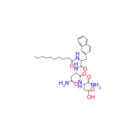 CCCCCCCCCC(=O)NC(Cc1ccc2ccccc2c1)C(=O)NC(CC(N)=O)C(=O)NC(CC(=O)O)C(N)=O